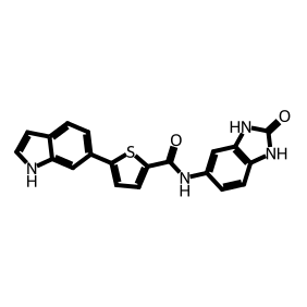 O=C(Nc1ccc2[nH]c(=O)[nH]c2c1)c1ccc(-c2ccc3cc[nH]c3c2)s1